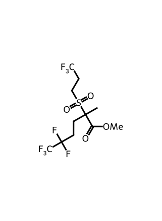 COC(=O)C(C)(CCC(F)(F)C(F)(F)F)S(=O)(=O)CCC(F)(F)F